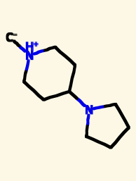 [CH2-][NH+]1CCC(N2CCCC2)CC1